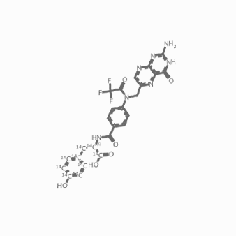 Nc1nc2ncc(CN(C(=O)C(F)(F)F)c3ccc(C(=O)N[14C@@H]([14CH2][14c]4[14cH][14cH][14c](O)[14cH][14cH]4)[14C](=O)O)cc3)nc2c(=O)[nH]1